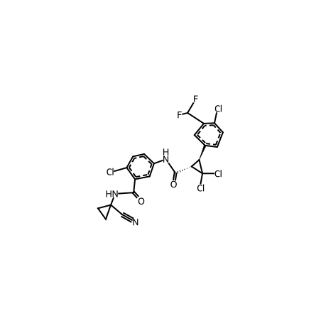 N#CC1(NC(=O)c2cc(NC(=O)[C@@H]3[C@@H](c4ccc(Cl)c(C(F)F)c4)C3(Cl)Cl)ccc2Cl)CC1